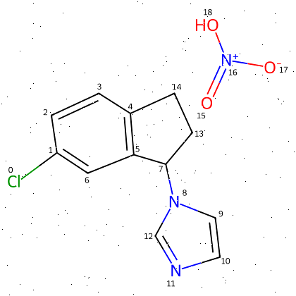 Clc1ccc2c(c1)C(n1ccnc1)CC2.O=[N+]([O-])O